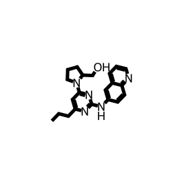 CCCc1cc(N2CCCC2CO)nc(Nc2ccc3ncccc3c2)n1